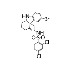 C=C1CCCC2Nc3ccc(Br)cc3C12CCNS(=O)(=O)c1ccc(Cl)cc1Cl